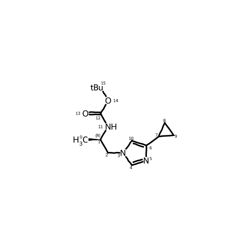 C[C@H](Cn1cnc(C2CC2)c1)NC(=O)OC(C)(C)C